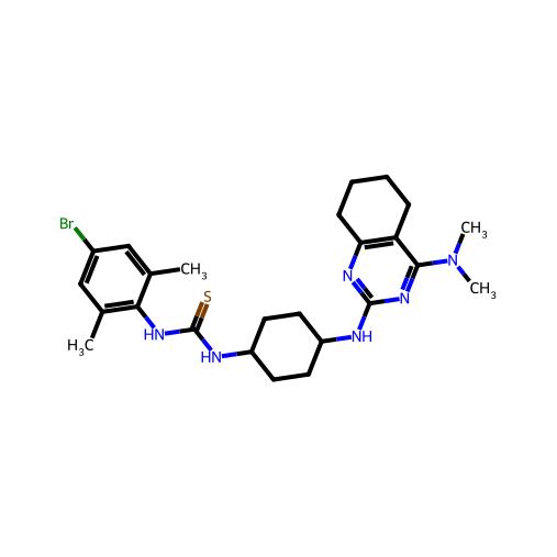 Cc1cc(Br)cc(C)c1NC(=S)NC1CCC(Nc2nc3c(c(N(C)C)n2)CCCC3)CC1